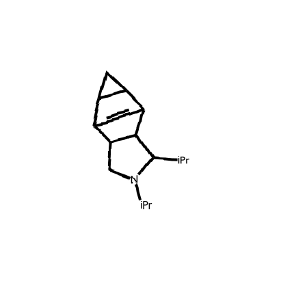 CC(C)C1C2C3C=CC(C4CC34)C2CN1C(C)C